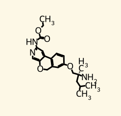 CCOC(=O)Nc1cc2c(cn1)OCc1cc(OC[C@@](C)(N)CC(C)C)ccc1-2